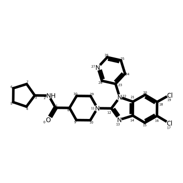 O=C(NC1CCCC1)C1CCN(c2nc3cc(Cl)c(Cl)cc3n2-c2cccnc2)CC1